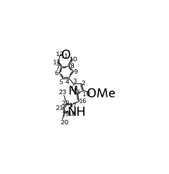 COC1=CC(c2ccc3c(c2)=COCC=3)=NC1=Cc1[nH]c(C)cc1C